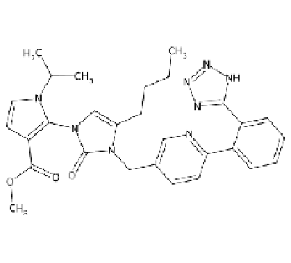 CCCCc1cn(-c2c(C(=O)OC)ccn2C(C)C)c(=O)n1Cc1ccc(-c2ccccc2-c2nnn[nH]2)nc1